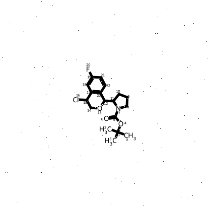 CC(C)(C)OC(=O)N1CCCC1C1OCC(Cl)c2cc(F)ccc21